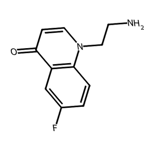 NCCn1ccc(=O)c2cc(F)ccc21